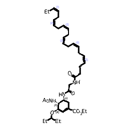 CC/C=C\C/C=C\C/C=C\C/C=C\C/C=C\C/C=C\CCC(=O)NCC(=O)N[C@H]1CC(C(=O)OCC)=C[C@@H](OC(CC)CC)[C@@H]1NC(C)=O